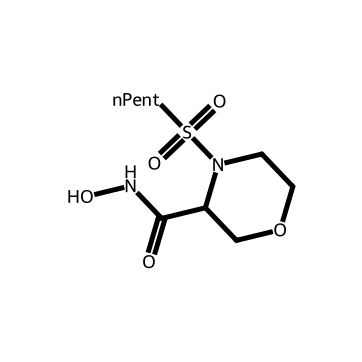 CCCCCS(=O)(=O)N1CCOCC1C(=O)NO